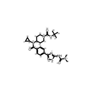 CN(C)C(=O)Nc1nc(-c2ccc(C(=O)N(C3CC3)C3CCN(C(=O)OC(C)(C)C)CC3)cc2)ns1